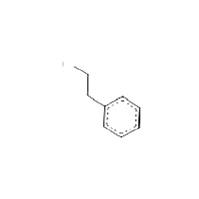 [SeH]CCc1ccccc1